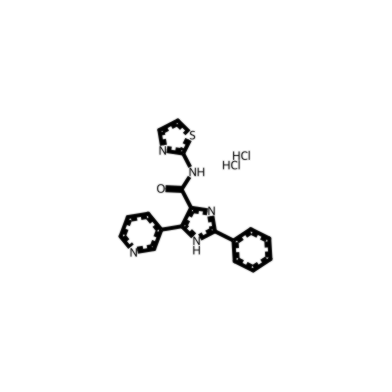 Cl.Cl.O=C(Nc1nccs1)c1nc(-c2ccccc2)[nH]c1-c1cccnc1